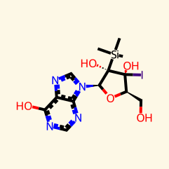 C[Si](C)(C)[C@]1(O)[C@H](n2cnc3c(O)ncnc32)O[C@H](CO)[C@]1(O)I